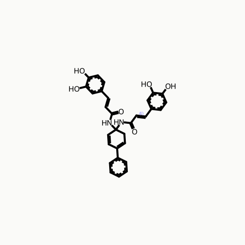 O=C(C=Cc1ccc(O)c(O)c1)NC1(NC(=O)/C=C/c2ccc(O)c(O)c2)C=CC(c2ccccc2)=CC1